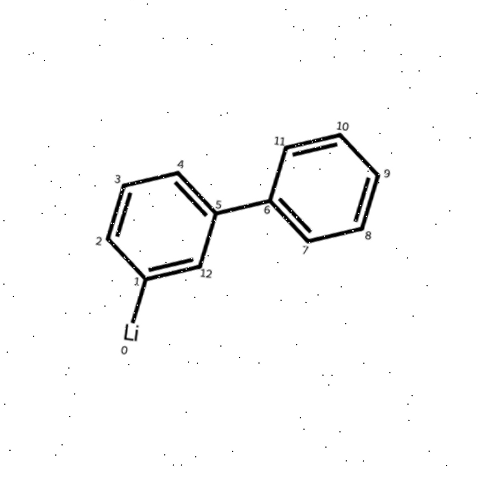 [Li][c]1cccc(-c2ccccc2)c1